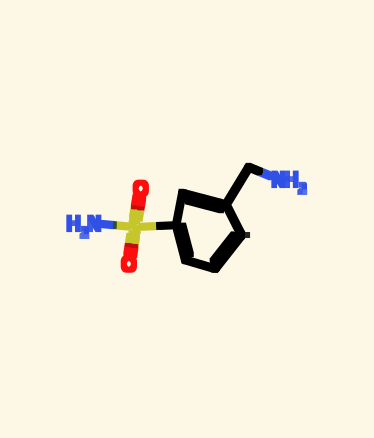 NCc1[c]ccc(S(N)(=O)=O)c1